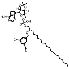 CCCCCCCCCCCCCCCCCC[C@@H](COP(=O)(O)OC[C@@]1(C)O[C@@H](c2ccc3c(N)ncnn23)[C@@H]2OC(C)(C)O[C@@H]21)OCc1cc(Cl)cc(C#N)c1